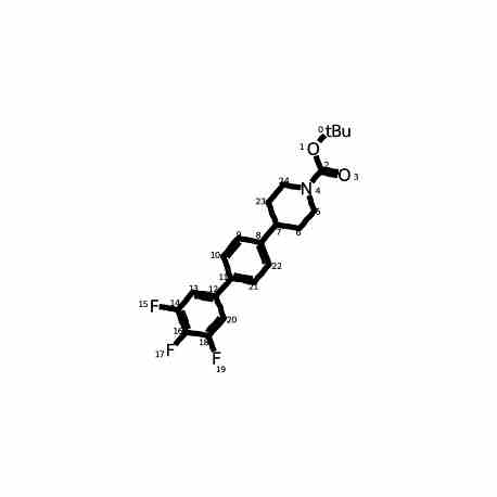 CC(C)(C)OC(=O)N1CCC(c2ccc(-c3cc(F)c(F)c(F)c3)cc2)CC1